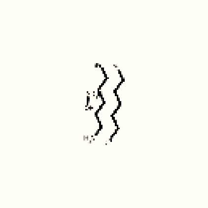 CC(C)CCCCCN.CC(C)CCCCCN.O=S(=O)(O)O